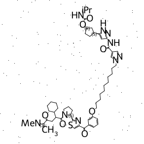 CN[C@@H](C)C(=O)CC(C(=O)N1CCC[C@H]1c1nc(C(=O)c2cccc(OCCCCCCCCCCCn3cc(C(=O)Nc4cc([C@H]5CC[C@@H](OC(=O)NC(C)C)C5)[nH]n4)cn3)c2)cs1)C1CCCCC1